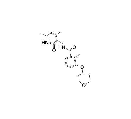 Cc1cc(C)c(CNC(=O)c2cccc(OC3CCOCC3)c2C)c(=O)[nH]1